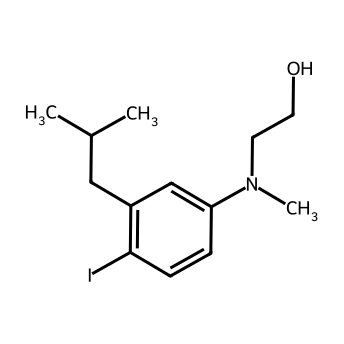 CC(C)Cc1cc(N(C)CCO)ccc1I